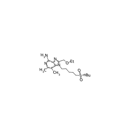 CCCCS(=O)(=O)CCCCCn1c(COCC)nc2c(N)nc(C)c(C)c21